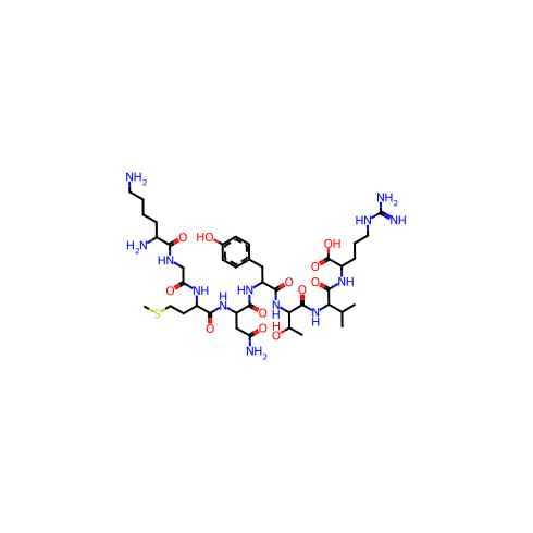 CSCCC(NC(=O)CNC(=O)C(N)CCCCN)C(=O)NC(CC(N)=O)C(=O)NC(Cc1ccc(O)cc1)C(=O)NC(C(=O)NC(C(=O)NC(CCCNC(=N)N)C(=O)O)C(C)C)C(C)O